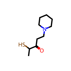 CC(S)C(=O)CCN1CCCCC1